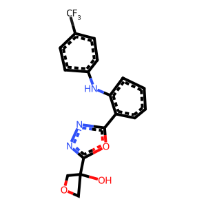 OC1(c2nnc(-c3ccccc3Nc3ccc(C(F)(F)F)cc3)o2)COC1